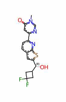 Cn1cnc(-c2ccc3cc([C@H](O)C4CC(F)(F)C4)sc3n2)cc1=O